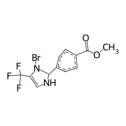 COC(=O)c1ccc(C2NC=C(C(F)(F)F)N2Br)cc1